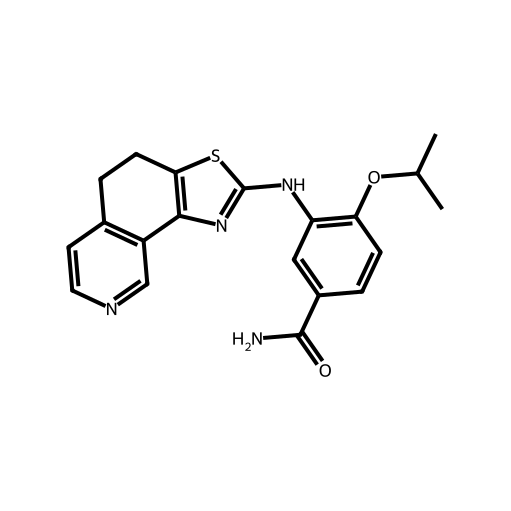 CC(C)Oc1ccc(C(N)=O)cc1Nc1nc2c(s1)CCc1ccncc1-2